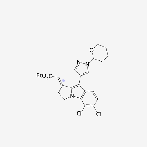 CCOC(=O)/C=C1\CCn2c1c(-c1cnn(C3CCCCO3)c1)c1ccc(Cl)c(Cl)c12